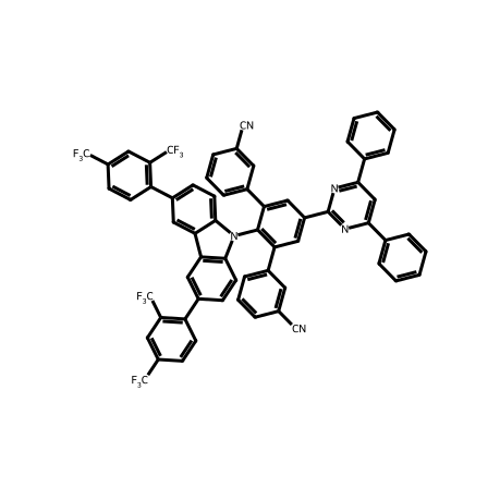 N#Cc1cccc(-c2cc(-c3nc(-c4ccccc4)cc(-c4ccccc4)n3)cc(-c3cccc(C#N)c3)c2-n2c3ccc(-c4ccc(C(F)(F)F)cc4C(F)(F)F)cc3c3cc(-c4ccc(C(F)(F)F)cc4C(F)(F)F)ccc32)c1